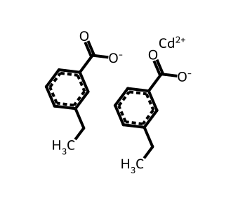 CCc1cccc(C(=O)[O-])c1.CCc1cccc(C(=O)[O-])c1.[Cd+2]